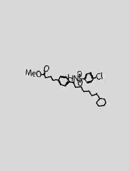 COC(=O)CCCc1ccc(C(CCCCCCC2CCCCC2)NS(=O)(=O)c2ccc(Cl)cc2)cc1